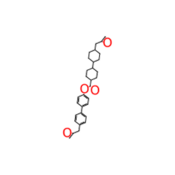 O=C(Oc1ccc(-c2ccc(CC3CO3)cc2)cc1)C1CCC(C2CCC(CC3CO3)CC2)CC1